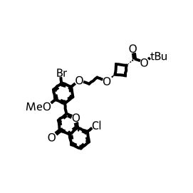 COc1cc(Br)c(OCCO[C@H]2C[C@@H](C(=O)OC(C)(C)C)C2)cc1-c1cc(=O)c2cccc(Cl)c2o1